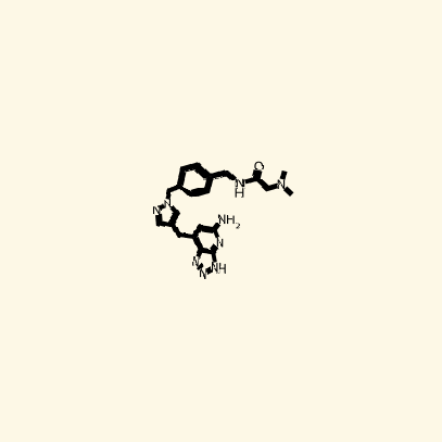 CN(C)CC(=O)NCc1ccc(Cn2cc(Cc3cc(N)nc4[nH]nnc34)cn2)cc1